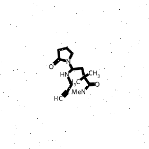 C#CCNC(CC(C)(C)C(=O)NC)N1CCCC1=O